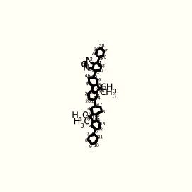 CC1(C)c2cc(-c3ccccc3)ccc2-c2ccc(-c3ccc4c(c3)C(C)(C)c3cc(-c5ccc(-c6ccccc6)c6nonc56)ccc3-4)cc21